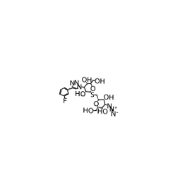 [N-]=[N+]=NC1C(O)[C@@H](CO)O[C@@H](CS[C@@H]2OC(CO)[C@H](O)C(n3cc(-c4cccc(F)c4)nn3)C2O)[C@@H]1O